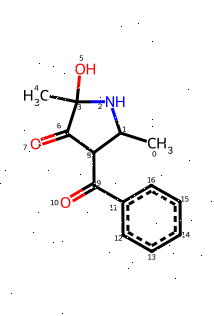 CC1NC(C)(O)C(=O)C1C(=O)c1ccccc1